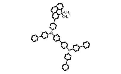 CC1(C)c2cccc3ccc4cc(-c5ccc(N(c6ccc(-c7ccccc7)cc6)c6ccc(-c7ccc(N(c8ccc(-c9ccccc9)cc8)c8ccc(-c9ccccc9)cc8)cc7)cc6)cc5)cc1c4c23